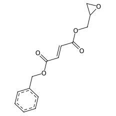 O=C(C=CC(=O)OCC1CO1)OCc1ccccc1